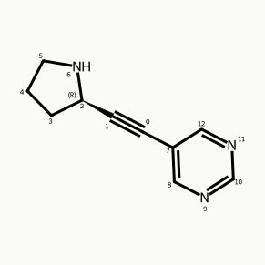 C(#C[C@H]1CCCN1)c1cncnc1